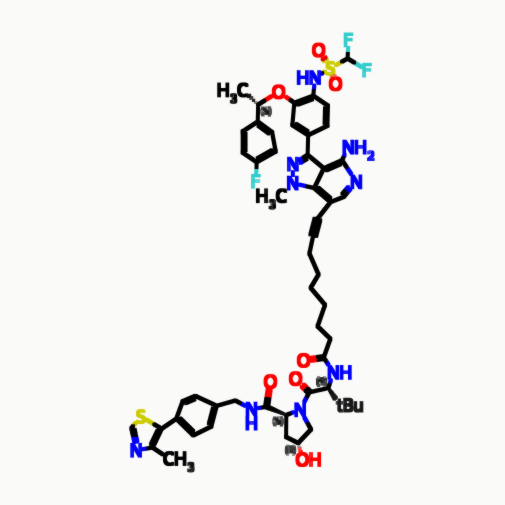 Cc1ncsc1-c1ccc(CNC(=O)[C@@H]2C[C@@H](O)CN2C(=O)[C@@H](NC(=O)CCCCCCC#Cc2cnc(N)c3c(-c4ccc(NS(=O)(=O)C(F)F)c(O[C@@H](C)c5ccc(F)cc5)c4)nn(C)c23)C(C)(C)C)cc1